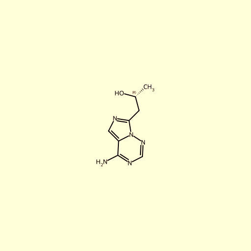 C[C@@H](O)Cc1ncc2c(N)ncnn12